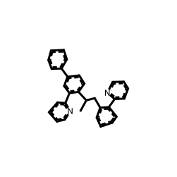 CC(Cc1ccccc1-c1ccccn1)c1ccc(-c2ccccc2)cc1-c1ccccn1